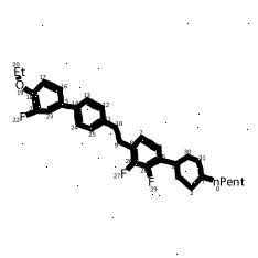 CCCCCC1CCC(c2ccc(CCc3ccc(-c4ccc(OCC)c(F)c4)cc3)c(F)c2F)CC1